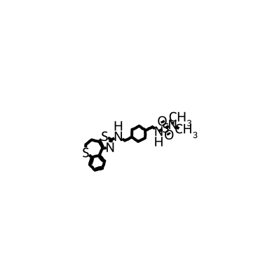 CN(C)S(=O)(=O)NCC1CCC(CNc2nc3c(s2)CCSc2ccccc2-3)CC1